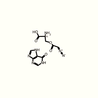 O=c1[nH]cnc2nc[nH]c12.[N-]=[N+]=CC(=O)OC[C@H](N)C(=O)O